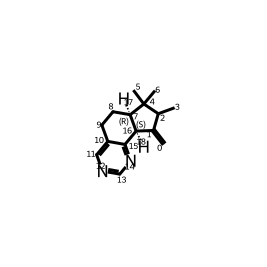 C=C1C(C)C(C)(C)[C@@H]2CCc3cncnc3[C@H]12